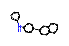 [c]1ccc(Nc2ccc(-c3ccc4ccccc4c3)cc2)cc1